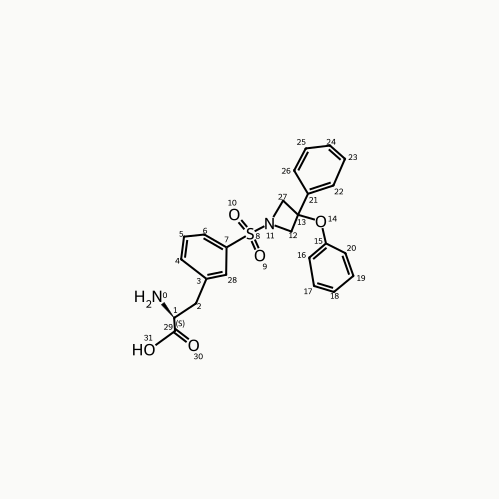 N[C@@H](Cc1cccc(S(=O)(=O)N2CC(Oc3ccccc3)(c3ccccc3)C2)c1)C(=O)O